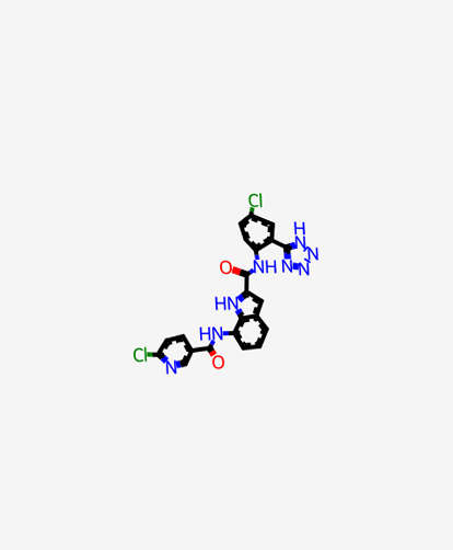 O=C(Nc1cccc2cc(C(=O)Nc3ccc(Cl)cc3-c3nnn[nH]3)[nH]c12)c1ccc(Cl)nc1